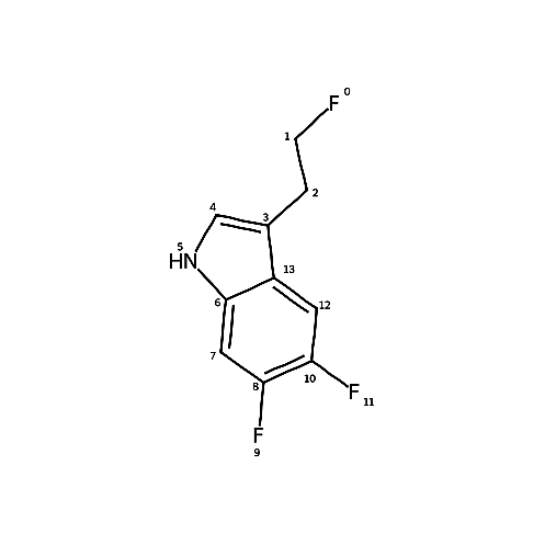 FCCc1c[nH]c2cc(F)c(F)cc12